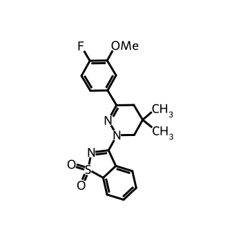 COc1cc(C2=NN(C3=NS(=O)(=O)c4ccccc43)CC(C)(C)C2)ccc1F